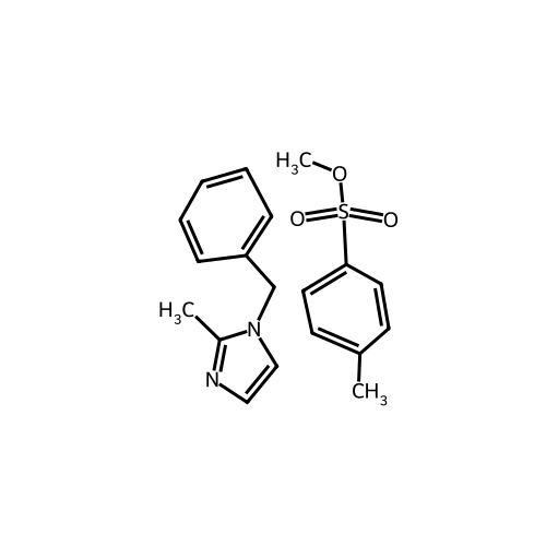 COS(=O)(=O)c1ccc(C)cc1.Cc1nccn1Cc1ccccc1